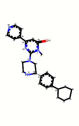 Cn1c(N2CCN[C@@H](c3ccc(C4CCCCC4)cc3)C2)nc(-c2ccncc2)cc1=O